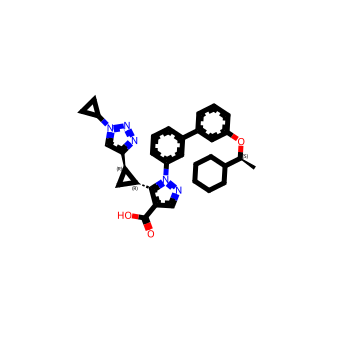 C[C@H](Oc1cccc(-c2cccc(-n3ncc(C(=O)O)c3[C@@H]3C[C@H]3c3cn(C4CC4)nn3)c2)c1)C1CCCCC1